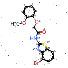 COc1ccccc1OCC(=O)Nc1nc2c(Br)cccc2s1